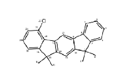 CC1(C)c2ccccc2-c2cc3c(cc21)C(C)(C)c1cccc(Cl)c1-3